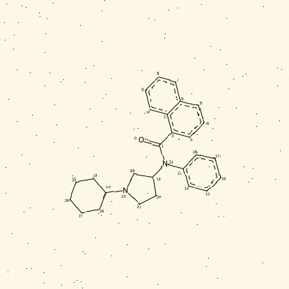 O=C(c1cccc2ccccc12)N(c1ccccc1)C1CCN(C2CCCCC2)C1